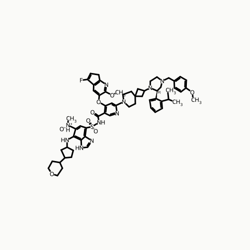 COc1ccc(CN2CCN(C3CC4(CCN(c5cc(Oc6cc7c(nc6OC)CC=C7F)c(C(=O)NS(=O)(=O)c6cc([NH+](C)[O-])c(NC7CCC(C8CCOCC8)C7)c7[nH]cnc67)cn5)CC4)C3)[C@H](c3ccccc3C(C)C)C2)cc1